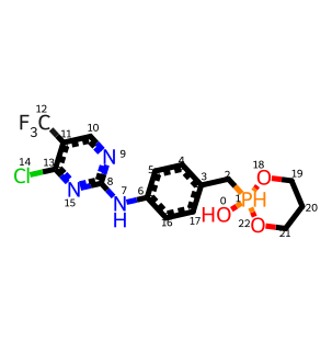 O[PH]1(Cc2ccc(Nc3ncc(C(F)(F)F)c(Cl)n3)cc2)OCCCO1